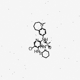 CN1CCCCc2cc(Nc3ncc(Cl)c(N[C@@H]4CCCC[C@H]4NS(C)(=O)=O)n3)ccc21